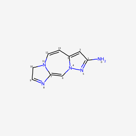 Nc1cc2n(n1)C=C1N=CCN1C=C2